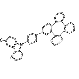 Cc1ccc2c(c1)c1ncccc1n2-c1ccc(-c2ccc3c(c2)-c2ccccc2-c2ccccc2-c2ccccc2-3)cc1